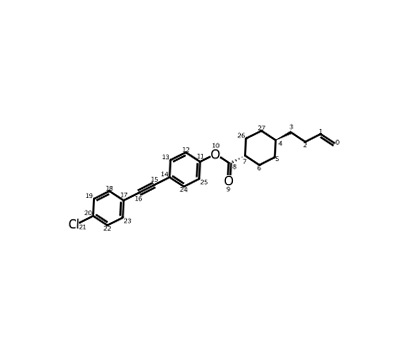 C=CCC[C@H]1CC[C@H](C(=O)Oc2ccc(C#Cc3ccc(Cl)cc3)cc2)CC1